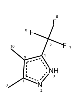 Cc1n[nH]c(C(F)(F)F)c1C